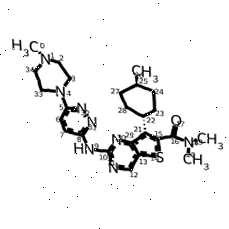 CN1CCN(c2ccc(Nc3ncc4sc(C(=O)N(C)C)c([C@H]5CC[C@H](C)CC5)c4n3)nn2)CC1